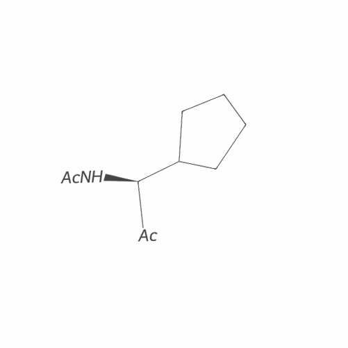 CC(=O)N[C@H](C(C)=O)C1CCCC1